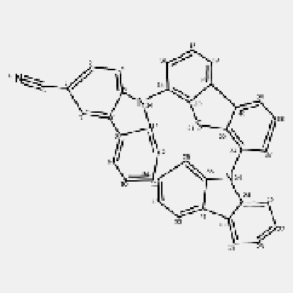 N#Cc1ccc2c(c1)c1ccccc1n2-c1cccc2c1sc1c(-n3c4ccccc4c4ccccc43)cccc12